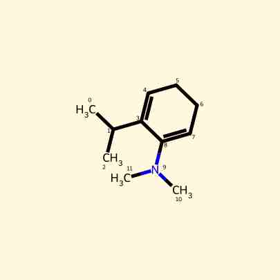 CC(C)C1=CCCC=C1N(C)C